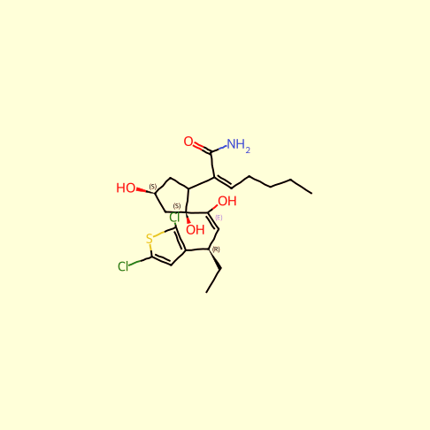 CCCCC=C(C(N)=O)C1C[C@H](O)C[C@@]1(O)/C(O)=C\[C@@H](CC)c1cc(Cl)sc1Cl